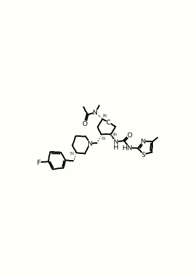 CC(=O)N(C)[C@@H]1CC[C@@H](NC(=O)Nc2nc(C)cs2)[C@H](CN2CCC[C@@H](Cc3ccc(F)cc3)C2)C1